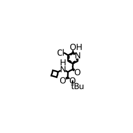 CC(C)(C)OC(=O)C(NC1CCC1)C(=O)c1cnc(O)c(Cl)c1